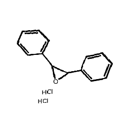 Cl.Cl.c1ccc(C2OC2c2ccccc2)cc1